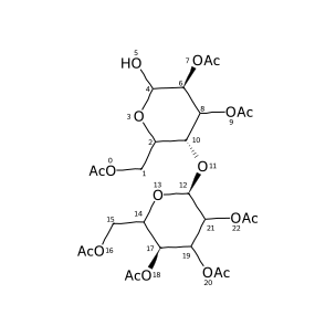 CC(=O)OCC1OC(O)[C@@H](OC(C)=O)C(OC(C)=O)[C@@H]1O[C@@H]1OC(COC(C)=O)[C@H](OC(C)=O)C(OC(C)=O)C1OC(C)=O